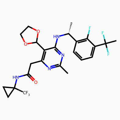 Cc1nc(CC(=O)NC2(C(F)(F)F)CC2)c(C2OCCO2)c(N[C@H](C)c2cccc(C(C)(F)F)c2F)n1